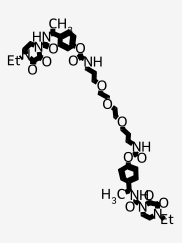 CCN1CCN(C(=O)NC(C)c2ccc(OC(=O)NCCCOCCOCCOCCCNC(=O)Oc3ccc(C(C)NC(=O)N4CCN(CC)C(=O)C4=O)cc3)cc2)C(=O)C1=O